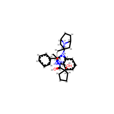 Cc1nc2ccccc2n1C1CC2CCC(C1)N2CC[C@H](NC(=O)C1(O)CCCC1)c1ccccc1